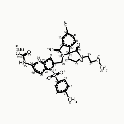 Cc1ccc(S(=O)(=O)n2c(CN3C(=O)c4cc(F)ccc4[C@]34CCN(CCOC(F)(F)F)C4=O)cc3nc(NC(=O)OC(C)(C)C)ccc32)cc1